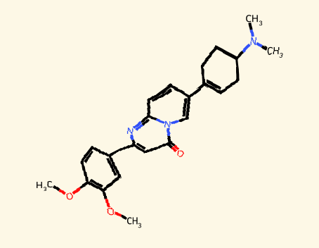 COc1ccc(-c2cc(=O)n3cc(C4=CCC(N(C)C)CC4)ccc3n2)cc1OC